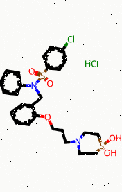 Cl.O=S(=O)(c1ccc(Cl)cc1)N(Cc1ccccc1OCCCN1CCS(O)(O)CC1)c1ccccc1